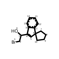 OC(CBr)C1=CC2(CCCC2)c2ccccc21